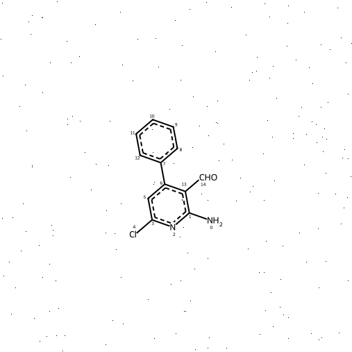 Nc1nc(Cl)cc(-c2ccccc2)c1C=O